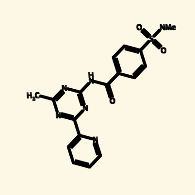 CNS(=O)(=O)c1ccc(C(=O)Nc2nc(C)nc(-c3ccccn3)n2)cc1